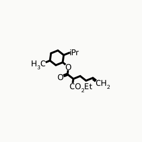 C=CCCC(C(=O)OCC)C(=O)OC1CC(C)CCC1C(C)C